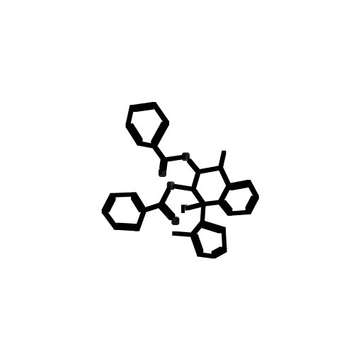 Cc1ccccc1C1(F)c2ccccc2C(C)C(OC(=O)c2ccccc2)C1OC(=O)c1ccccc1